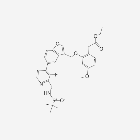 CCOC(=O)Cc1ccc(OC)cc1OCc1coc2ccc(-c3ccnc(CN[S+]([O-])C(C)(C)C)c3F)cc12